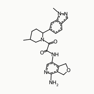 CC1CCC(c2ccc3cnn(C)c3c2)N(C(=O)C(=O)Nc2cnc(N)c3c2COC3)C1